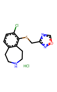 Cl.Clc1ccc2c(c1SCc1ncon1)CCNCC2